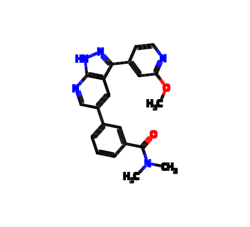 COc1cc(-c2n[nH]c3ncc(-c4cccc(C(=O)N(C)C)c4)cc23)ccn1